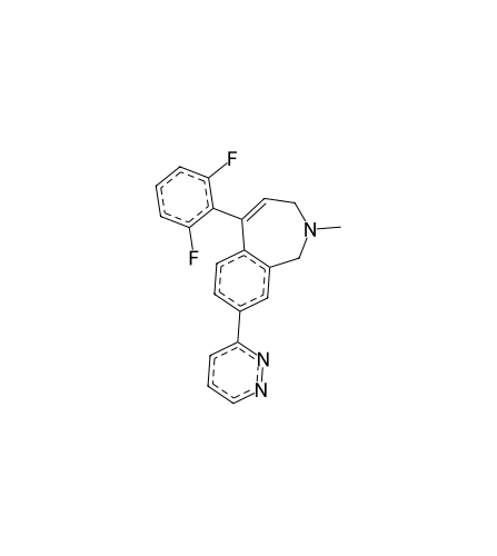 CN1CC=C(c2c(F)cccc2F)c2ccc(-c3cccnn3)cc2C1